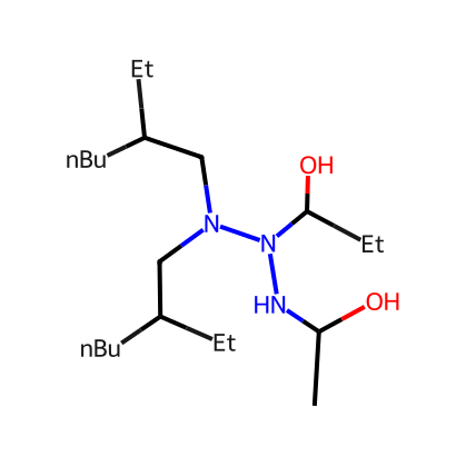 CCCCC(CC)CN(CC(CC)CCCC)N(NC(C)O)C(O)CC